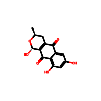 C[C@H]1CC2=C(C(=O)c3c(O)cc(O)cc3C2=O)[C@H](O)O1